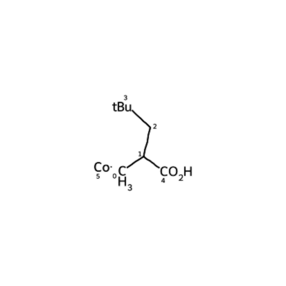 CC(CC(C)(C)C)C(=O)O.[Co]